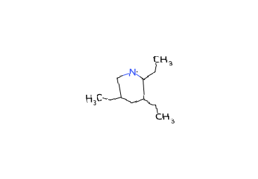 CCC1C[N]C(CC)C(CC)C1